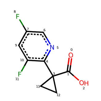 O=C(O)C1(c2ncc(F)cc2F)CC1